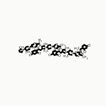 Cc1nn(C(C)c2ccc(Cl)cc2Cl)c2nc(N3CCC(N4CC(CC(c5ccc(Cl)cc5Cl)n5nc(C)c6ncc(N7CCC(N8CC(CC(c9ccc(Cl)cc9Cl)n9nc(C)c%10ncc(N%11CC[C@H](N%12CCC[C@H]%12C)[C@H](C)C%11)nc%109)C[C@@H]8C)C(C)C7)nc65)C[C@@H]4C)[C@H](C)C3)cnc12